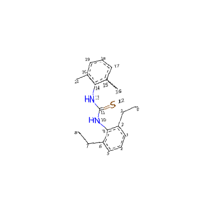 CCc1cccc(CC)c1NC(=S)Nc1c(C)cccc1C